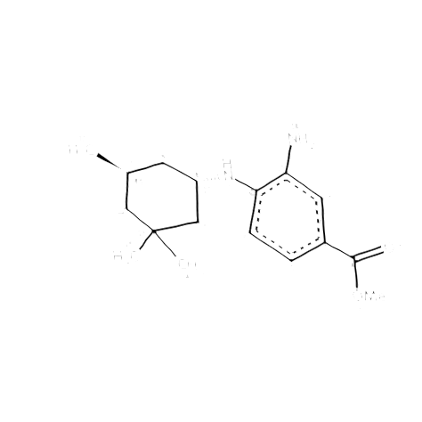 COC(=O)c1ccc(N[C@H]2C[C@H](C)CC(C)(C)C2)c(N)c1